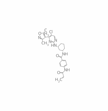 C=CC(=O)Nc1ccc(C(=O)N[C@H]2CCC[C@@H](Nc3ncc(Cl)c(-c4c(C)noc4C)n3)C2)cc1